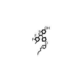 Cc1ccc(C2=C(c3ccc(O[C@H]4CCN(CCCF)C4)cc3)c3ccc(O)cc3SC2)c(F)c1F